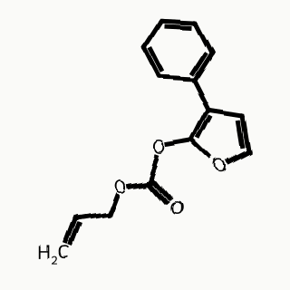 C=CCOC(=O)Oc1occc1-c1ccccc1